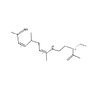 C=C(C)[C@@H](CC)CCN/C(C)=C\CC(C)/C=C\C(C)=N